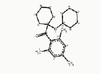 Cc1cc(C)c(C(=O)C2(OC3CCCCC3)CCCCC2)c(C)c1